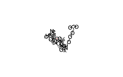 CC[C@H](C)[C@@H]([C@@H](CC(=O)N1CCC[C@H]1[C@H](OC)[C@@H](C)C(=S)N[C@@H](Cc1ccccc1)c1nccs1)OC)N(C)C(=O)[C@@H](NC(=O)[C@H](C(C)C)N(C)C(=O)CCOCCOCCOCCC1C(=O)C=CC1=O)C(C)C